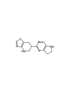 c1nc2c(s1)CC(c1ncc3c(n1)CCN3)CN2